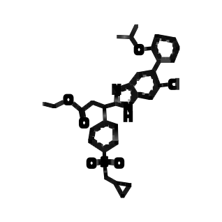 CCOC(=O)CC(c1ccc(S(=O)(=O)CC2CC2)cc1)c1nc2cc(-c3ccccc3OC(C)C)c(Cl)cc2[nH]1